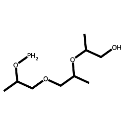 CC(COCC(C)OC(C)CO)OP